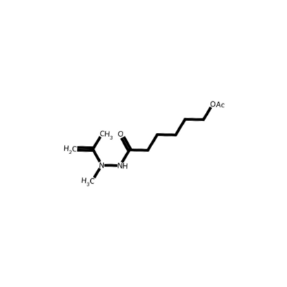 C=C(C)N(C)NC(=O)CCCCCOC(C)=O